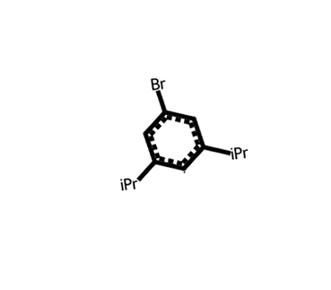 CC(C)c1[c]c(C(C)C)cc(Br)c1